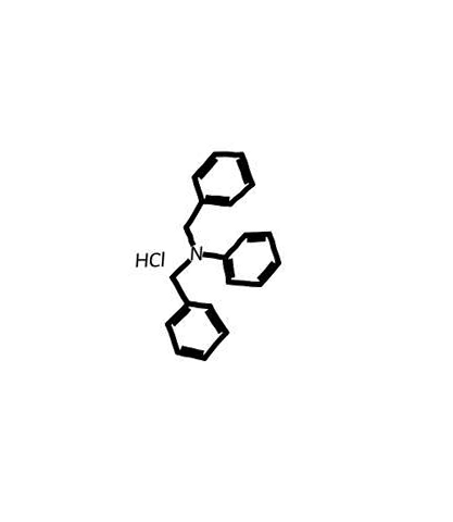 Cl.c1ccc(CN(Cc2ccccc2)c2ccccc2)cc1